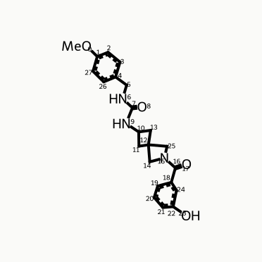 COc1ccc(CNC(=O)NC2CC3(C2)CN(C(=O)c2cccc(O)c2)C3)cc1